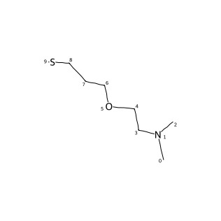 CN(C)CCOCCC[S]